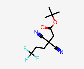 CC(C)(C)OC(=O)CC(C#N)(C#N)CCC(F)(F)F